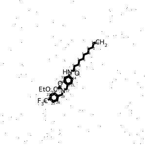 C=CCCCCCCCCC(=O)Nc1ccc(CN(Cc2ccc(C(F)(F)F)cc2)C(=O)C(=O)OCC)cc1